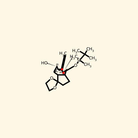 C=C1C[C@@H](O)C2CCCC3(CCC4(OCCO4)C23)C[C@]1(I)O[Si](C)(C)C(C)(C)C